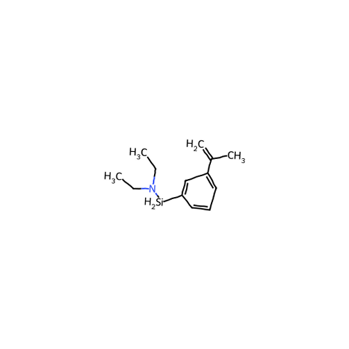 C=C(C)c1cccc([SiH2]N(CC)CC)c1